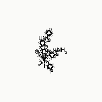 CCCN(C(=O)NCc1ccc(F)cc1)N1CC(=O)N2[C@@H](Cc3ccc(NC(=O)c4ccccc4)cc3)C(=O)N(Cc3cccc4sc(N)nc34)C[C@@H]21